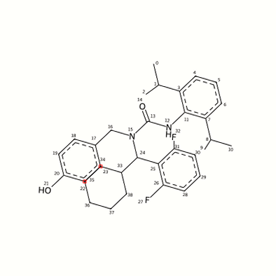 CC(C)c1cccc(C(C)C)c1NC(=O)N(Cc1ccc(O)cc1)C(c1c(F)cccc1F)C1CCCCC1